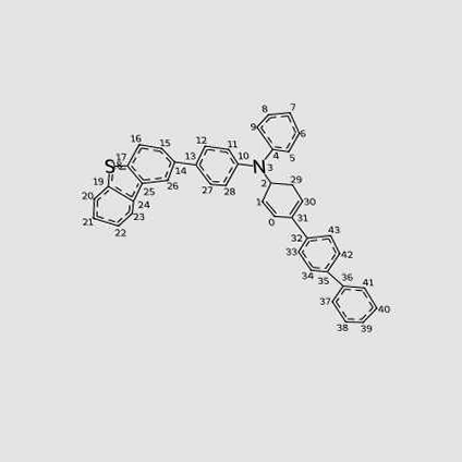 C1=CC(N(c2ccccc2)c2ccc(-c3ccc4sc5ccccc5c4c3)cc2)CC=C1c1ccc(-c2ccccc2)cc1